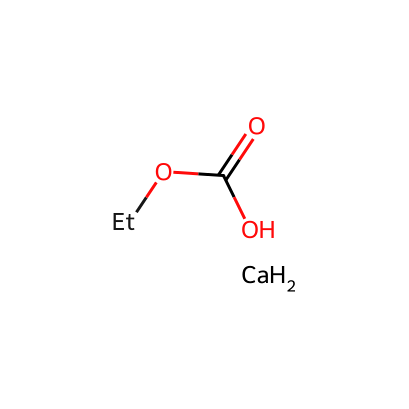 CCOC(=O)O.[CaH2]